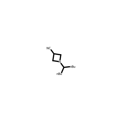 CCCCC(CCCC)N1CC(C#N)C1